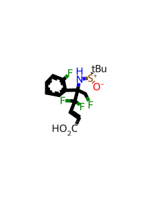 CC(C)(C)[S@@+]([O-])NC(CF)(c1ccccc1F)C(F)(F)C=CC(=O)O